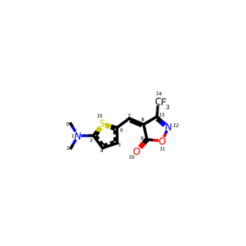 CN(C)c1ccc(/C=C2\C(=O)ON=C2C(F)(F)F)s1